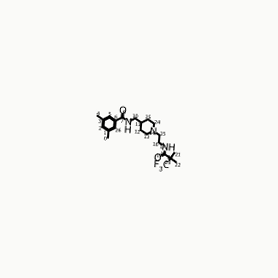 Cc1cc(C)cc(C(=O)NCC2CCN(CCNC(=O)C(C)(C)C(F)(F)F)CC2)c1